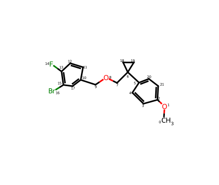 COc1ccc(C2(COCc3ccc(F)c(Br)c3)CC2)cc1